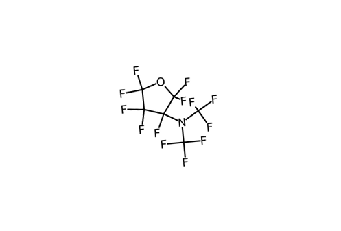 FC(F)(F)N(C(F)(F)F)C1(F)C(F)(F)OC(F)(F)C1(F)F